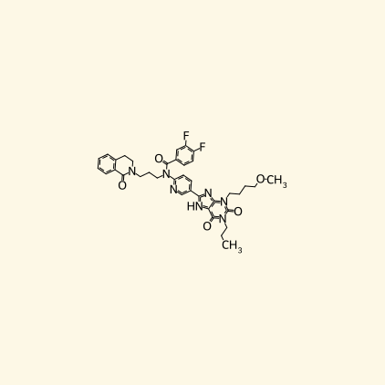 CCCn1c(=O)c2[nH]c(-c3ccc(N(CCCN4CCc5ccccc5C4=O)C(=O)c4ccc(F)c(F)c4)nc3)nc2n(CCCCOC)c1=O